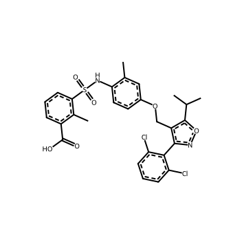 Cc1cc(OCc2c(-c3c(Cl)cccc3Cl)noc2C(C)C)ccc1NS(=O)(=O)c1cccc(C(=O)O)c1C